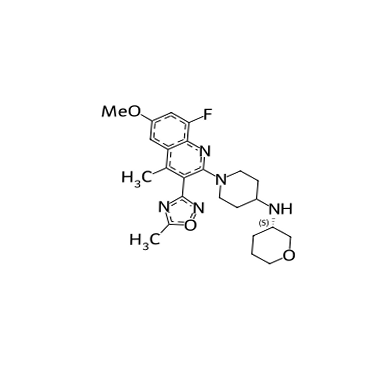 COc1cc(F)c2nc(N3CCC(N[C@H]4CCCOC4)CC3)c(-c3noc(C)n3)c(C)c2c1